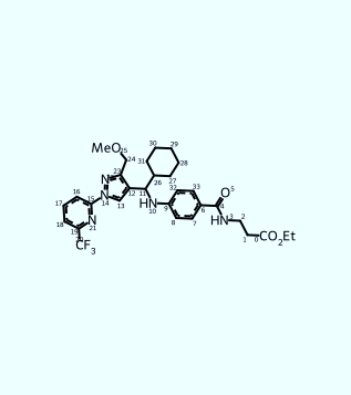 CCOC(=O)CCNC(=O)c1ccc(NC(c2cn(-c3cccc(C(F)(F)F)n3)nc2COC)C2CCCCC2)cc1